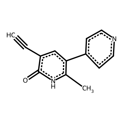 C#Cc1cc(-c2ccncc2)c(C)[nH]c1=O